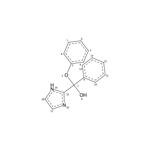 OC(Oc1ccccc1)(c1ccccc1)c1ncc[nH]1